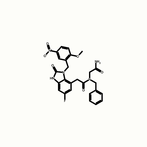 COc1ccc([N+](=O)[O-])cc1Cn1c(=O)[nH]c2cc(F)cc(CC(=O)N(CC(N)=O)Cc3ccccc3)c21